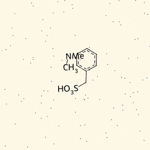 CNC.O=S(=O)(O)Cc1ccccc1